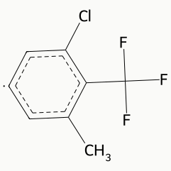 Cc1c[c]cc(Cl)c1C(F)(F)F